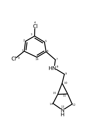 Clc1cc(Cl)cc(CNCC2C3CNCC23)c1